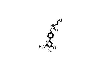 CSc1c(N)nc(-c2ccc(OC(=O)NCCCl)cc2)nc1Cl